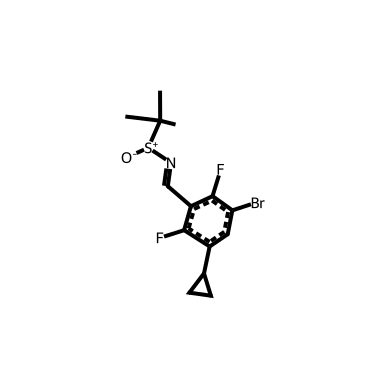 CC(C)(C)[S+]([O-])N=Cc1c(F)c(Br)cc(C2CC2)c1F